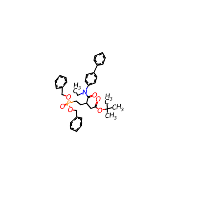 CCN(C(=O)C(CCP(=O)(OCc1ccccc1)OCc1ccccc1)CC(=O)OC(C)(C)C)c1ccc(-c2ccccc2)cc1